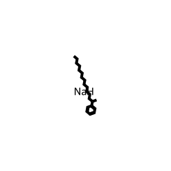 CCCCCCCCCCCCCC(C)c1ccccc1.[NaH]